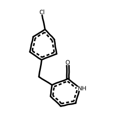 O=c1[nH]cccc1Cc1ccc(Cl)cc1